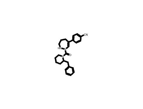 N#Cc1ccc(C2=CN(C(=O)N3CCCCC3Cc3ccccc3)NCCC2)cc1